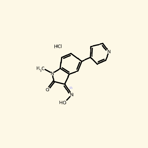 CN1C(=O)/C(=N\O)c2cc(-c3ccncc3)ccc21.Cl